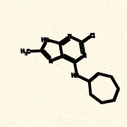 Cc1nc2c(NC3CCCCCC3)nc(Cl)nc2[nH]1